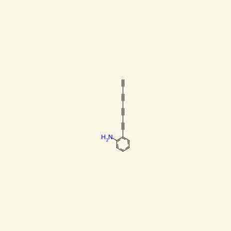 C#CC#CC#CC#Cc1ccccc1N